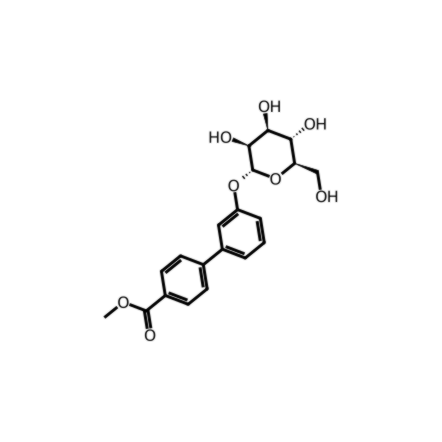 COC(=O)c1ccc(-c2cccc(O[C@H]3O[C@H](CO)[C@@H](O)[C@H](O)[C@@H]3O)c2)cc1